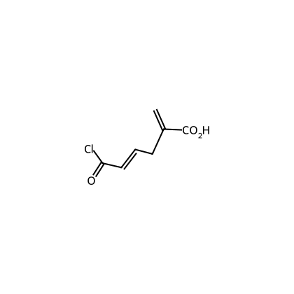 C=C(CC=CC(=O)Cl)C(=O)O